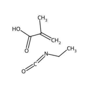 C=C(C)C(=O)O.CCN=C=O